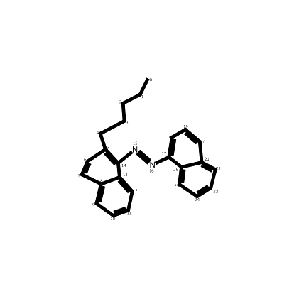 CCCCCc1ccc2ccccc2c1N=Nc1cccc2ccccc12